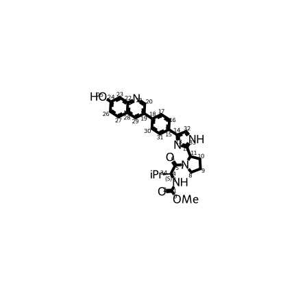 COC(=O)N[C@H](C(=O)N1CCCC1c1nc(-c2ccc(-c3cnc4cc(O)ccc4c3)cc2)c[nH]1)C(C)C